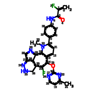 C=C(F)C(=O)Nc1ccc(C2=CC=c3c(Oc4nccc(C)n4)c(F)c4c5c(cnc-5c3N2C)=NNC4)cc1